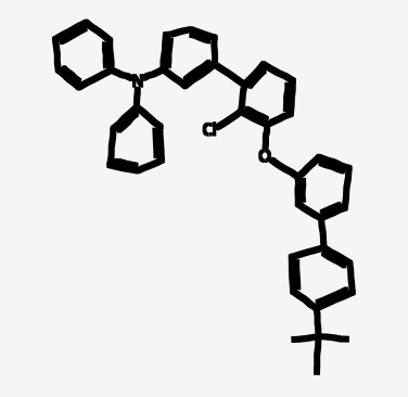 CC(C)(C)c1ccc(-c2cccc(Oc3cccc(-c4cccc(N(c5ccccc5)c5ccccc5)c4)c3Cl)c2)cc1